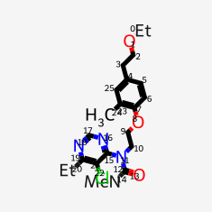 CCOCCc1ccc(OCCN(C(=O)NC)c2ncnc(CC)c2Cl)c(C)c1